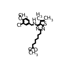 COC(=O)CCCCCCc1nc(NCc2ccc(OC)c(Cl)c2)c2c(C)c(C)sc2n1